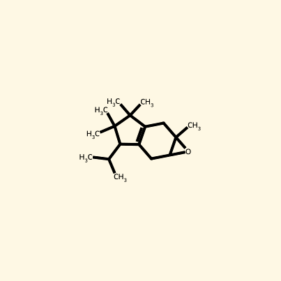 CC(C)C1C2=C(CC3(C)OC3C2)C(C)(C)C1(C)C